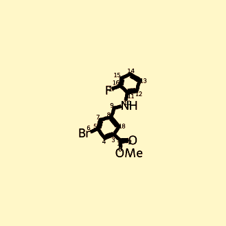 COC(=O)c1cc(Br)cc(CNc2ccccc2F)c1